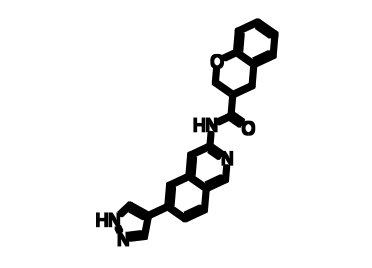 O=C(Nc1cc2cc(-c3cn[nH]c3)ccc2cn1)C1COc2ccccc2C1